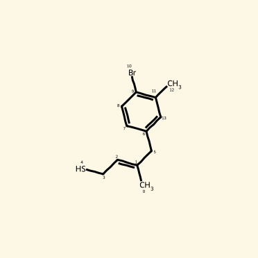 CC(=CCS)Cc1ccc(Br)c(C)c1